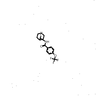 O=C(NC1CN2CCC1CC2)c1ccc(OC(F)(F)F)cc1